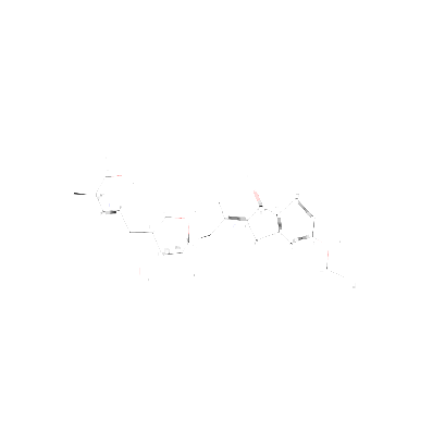 C/C(C[C@@H]1OCC(C/C=C/[C@@H](C)[C@H](C)O)[C@@H](O)[C@H]1O)=C1/Cc2cc(OCC(=O)O)ccc2C1=O